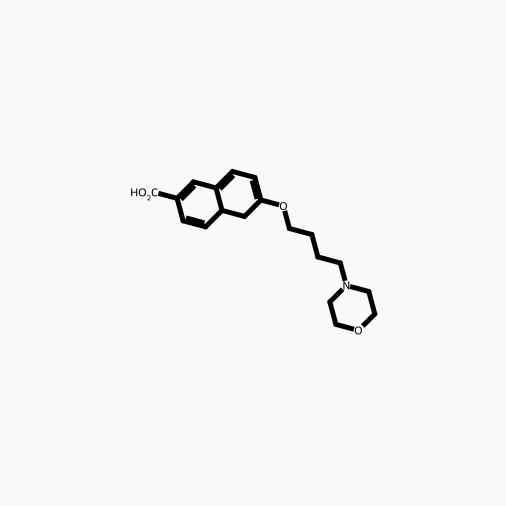 O=C(O)C1=CC2=CC=C(OCCCCN3CCOCC3)CC2C=C1